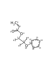 C=CC(=O)OC(I)C(I)(I)Oc1ccccc1